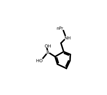 CCCNCc1ccccc1B(O)O